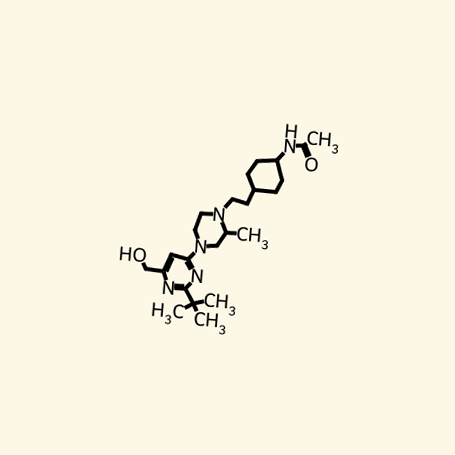 CC(=O)NC1CCC(CCN2CCN(c3cc(CO)nc(C(C)(C)C)n3)CC2C)CC1